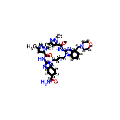 CCn1nc(C)cc1C(=O)Nc1nc2cc(C(N)=O)ccc2n1C/C=C/Cn1c(NC(=O)c2cc(C)nn2CC)nc2c(CN3CCOCC3)cccc21